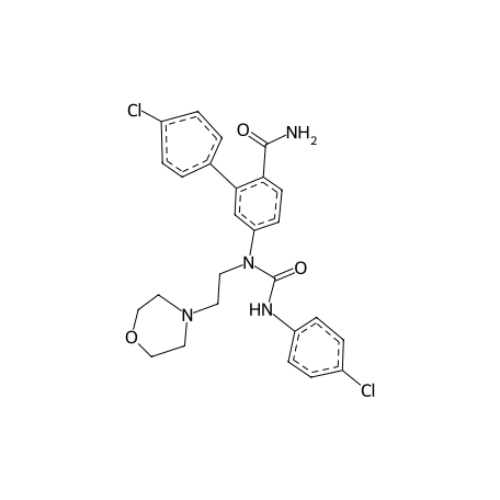 NC(=O)c1ccc(N(CCN2CCOCC2)C(=O)Nc2ccc(Cl)cc2)cc1-c1ccc(Cl)cc1